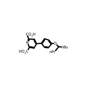 CCCCC(CCC)Oc1ccc(-c2cc(C(=O)O)nc(C(=O)O)c2)cc1